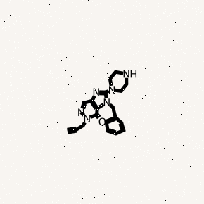 C#CCn1ncc2nc(N3CCNCC3)n(Cc3ccccc3)c2c1=O